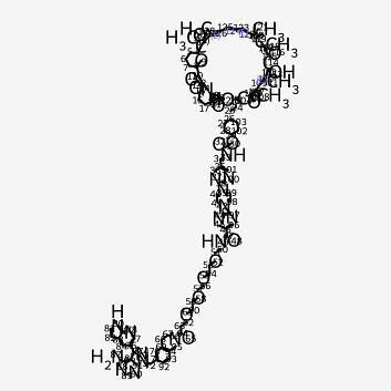 CO[C@H]1CC2CCCC(O2)C(=O)C(=O)N2CCCC[C@H]2C(=O)O[C@H](CC[C@H]2CC[C@H](OC(=O)NCc3cnc(N4CCN(c5ncc(C(=O)NCCOCCOCCOCCOCCC(=O)N6CCc7cc(Cn8nc(-c9cnc%10[nH]ccc%10c9)c9c(N)ncnc98)ccc7C6)cn5)CC4)nc3)CC2)CC(=O)[C@H](C)/C=C(\C)[C@@H](O)CC(=O)[C@H](C)C[C@H](C)/C=C/C=C/C=C/1C